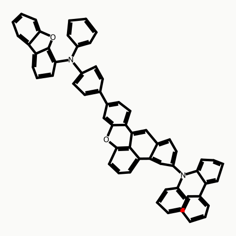 c1ccc(-c2ccccc2N(c2ccccc2)c2ccc3cc4c5c(cccc5c3c2)Oc2cc(-c3ccc(N(c5ccccc5)c5cccc6c5oc5ccccc56)cc3)ccc2-4)cc1